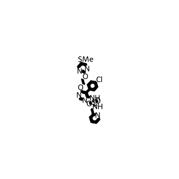 CSc1cnc(OCCOc2ncnc(NS(=O)(=O)NCc3ccccn3)c2-c2ccc(Cl)cc2)nc1